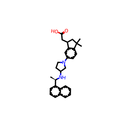 C[C@@H](NC1CCN(c2ccc3c(c2)C(CC(=O)O)CC3(C)C)C1)c1cccc2ccccc12